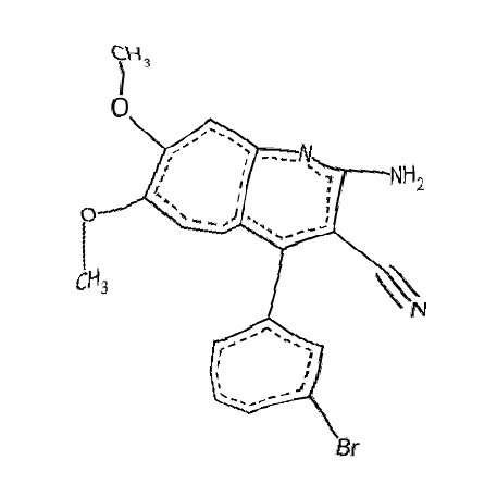 COc1cc2nc(N)c(C#N)c(-c3cccc(Br)c3)c2cc1OC